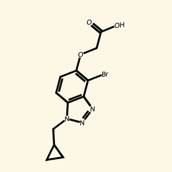 O=C(O)COc1ccc2c(nnn2CC2CC2)c1Br